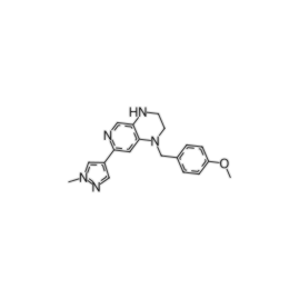 COc1ccc(CN2CCNc3cnc(-c4cnn(C)c4)cc32)cc1